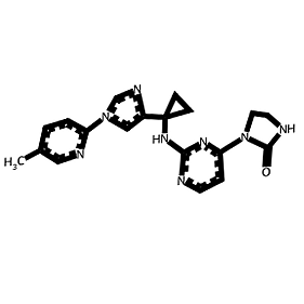 Cc1ccc(-n2cnc(C3(Nc4nccc(N5CCNC5=O)n4)CC3)c2)nc1